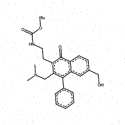 CN(C)Cc1c(-c2ccccc2)c2cc(CO)ccc2c(=O)n1CCNC(=O)OC(C)(C)C